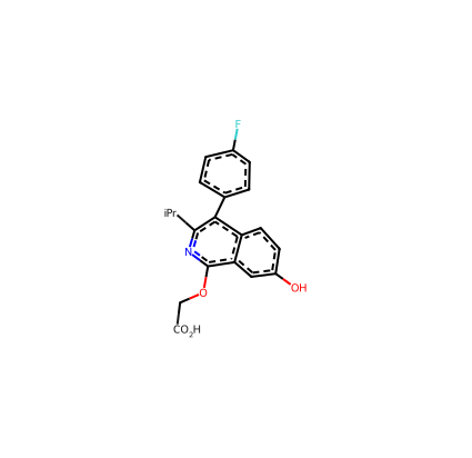 CC(C)c1nc(OCC(=O)O)c2cc(O)ccc2c1-c1ccc(F)cc1